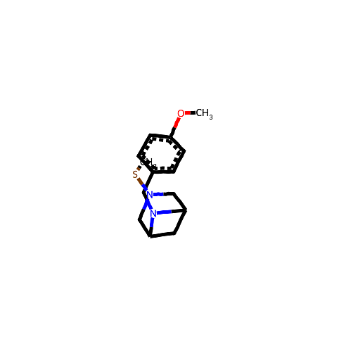 COc1ccc(CN2C3CC2CN(SC)C3)cc1